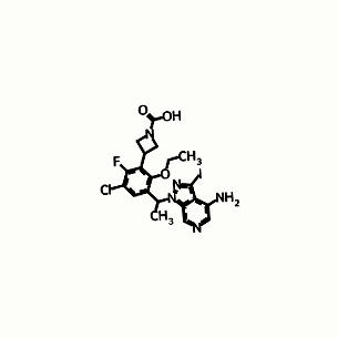 CCOc1c(C(C)n2nc(I)c3c(N)cncc32)cc(Cl)c(F)c1C1CN(C(=O)O)C1